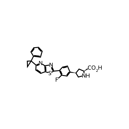 O=C(O)[C@@H]1C[C@H](c2ccc(-c3nc4nc(C5(c6ccccc6)CC5)ccc4s3)c(F)c2)CN1